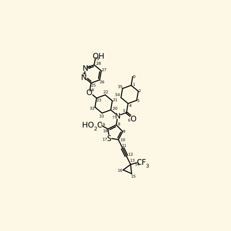 CC1CCC(C(=O)N(c2cc(C#CC3(C(F)(F)F)CC3)sc2C(=O)O)C2CCC(Oc3ccc(O)nn3)CC2)CC1